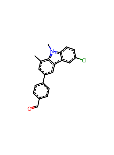 Cc1cc(-c2ccc(C=O)cc2)cc2c3cc(Cl)ccc3n(C)c12